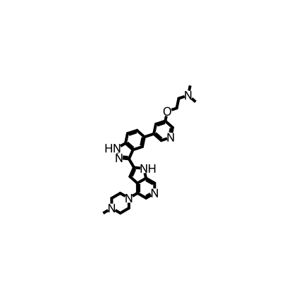 CN(C)CCOc1cncc(-c2ccc3[nH]nc(-c4cc5c(N6CCN(C)CC6)cncc5[nH]4)c3c2)c1